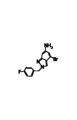 Nc1cc(Br)c2cn(Cc3ccc(F)cc3)nc2c1